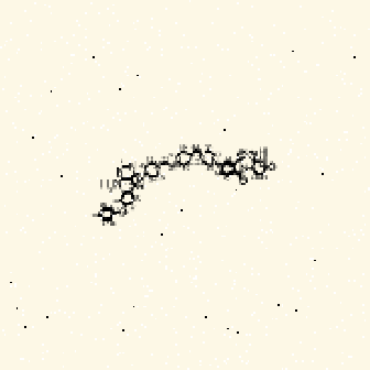 Nc1ncnc2c1c(-c1ccc(Oc3ccccc3)cc1)nn2C1CCN(CCN2CCC(CN3CCN(c4ccc5c(c4)C(=O)N(C4CCC(=O)NC4=O)C5=O)CC3)CC2)CC1